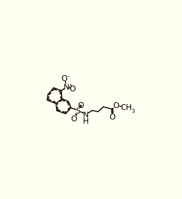 COC(=O)CCCNS(=O)(=O)c1ccc2cccc([N+](=O)[O-])c2c1